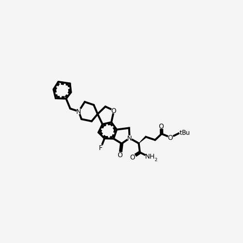 CC(C)(C)OC(=O)CC[C@@H](C(N)=O)N1Cc2c3c(cc(F)c2C1=O)C1(CCN(Cc2ccccc2)CC1)CO3